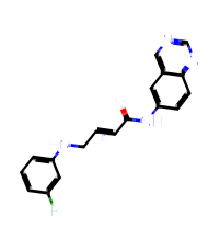 O=C(/C=C/CNc1cccc(Br)c1)Nc1ccc2ncncc2c1